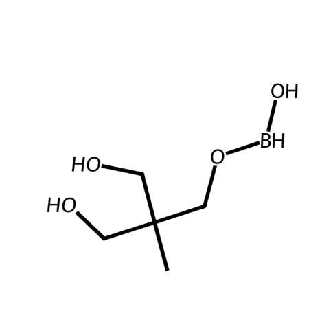 CC(CO)(CO)COBO